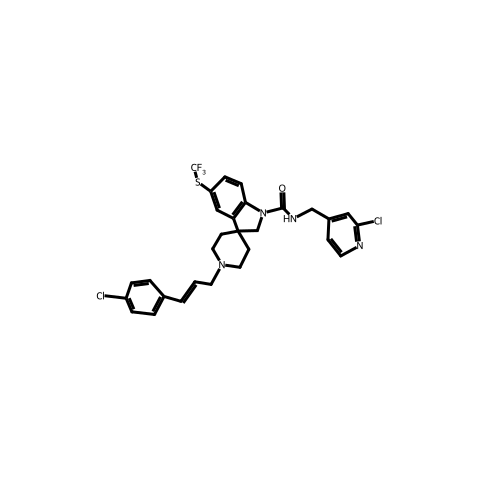 O=C(NCc1ccnc(Cl)c1)N1CC2(CCN(CC=Cc3ccc(Cl)cc3)CC2)c2cc(SC(F)(F)F)ccc21